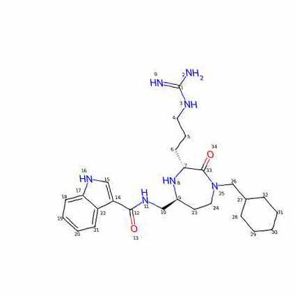 N=C(N)NCCC[C@H]1N[C@H](CNC(=O)c2c[nH]c3ccccc23)CCN(CC2CCCCC2)C1=O